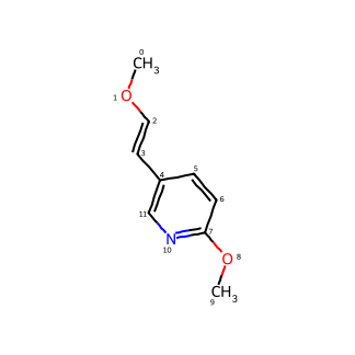 COC=Cc1ccc(OC)nc1